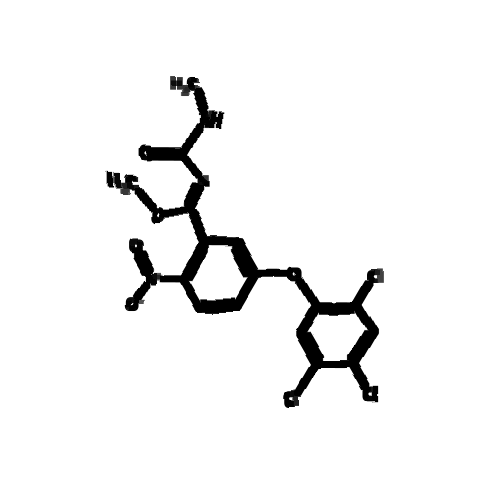 CNC(=O)N=C(OC)c1cc(Oc2cc(Cl)c(Cl)cc2Cl)ccc1[N+](=O)[O-]